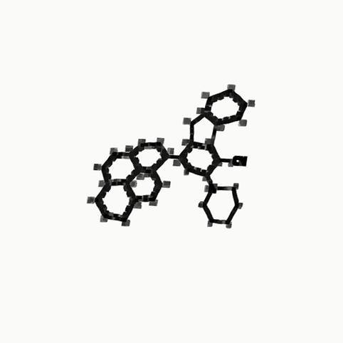 N#Cc1c(N2CCCCC2)cc(-c2ccc3ccc4cccc5ccc2c3c45)c2c1-c1ccccc1C2